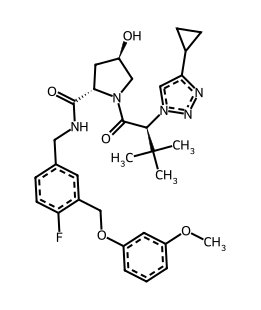 COc1cccc(OCc2cc(CNC(=O)[C@@H]3C[C@@H](O)CN3C(=O)[C@@H](n3cc(C4CC4)nn3)C(C)(C)C)ccc2F)c1